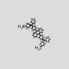 Cc1ccc(N(c2ccccc2)c2ccc(-c3c4ccccc4c(-c4ccc(N(c5ccccc5)c5ccc(C)cc5)cc4)c4ccccc34)cc2)cc1